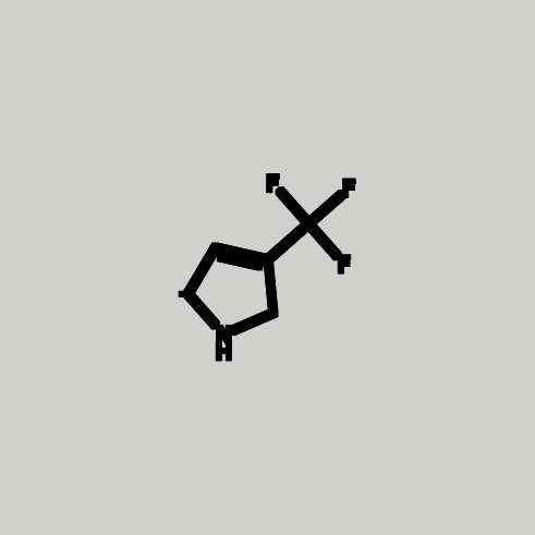 FC(F)(F)C1=C[CH]NC1